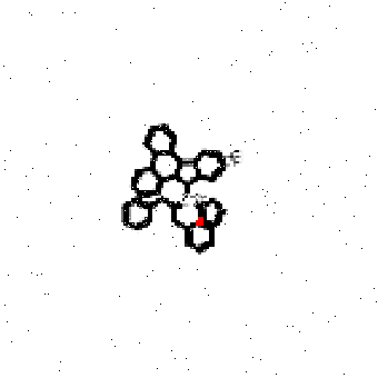 C1=CC[C]([Zr+2](=[C](Cc2ccccc2)Cc2ccccc2)[CH]2C3C=CC=CC3C3C4C=CC=CC4C4C=CC=CC4C32)=C1.[Cl-].[Cl-]